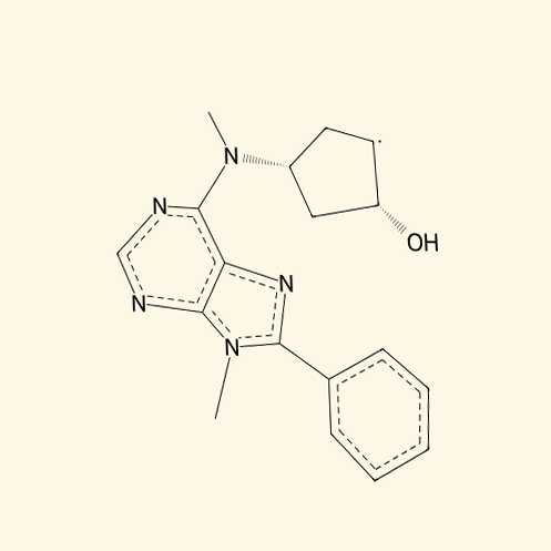 CN(c1ncnc2c1nc(-c1ccccc1)n2C)[C@@H]1C[CH][C@H](O)C1